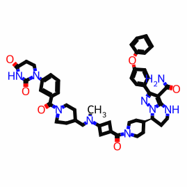 CN(CC1CCN(C(=O)c2cccc(N3CCC(=O)NC3=O)c2)CC1)C1CC(C(=O)N2CCC([C@@H]3CCNc4c(C(N)=O)c(-c5ccc(Oc6ccccc6)cc5)nn43)CC2)C1